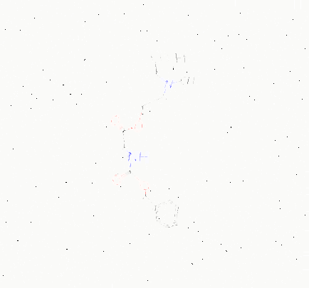 CCOC(=O)CN(C)CCOC(=O)CNC(=O)OCc1ccccc1